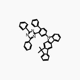 CC1(C)c2ccccc2-c2cc3c4ccccc4n(-c4ccc(-c5ccccc5)c(-c5nc(-c6ccccc6)nc(-c6ccccc6)n5)c4)c3cc21